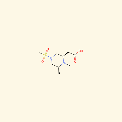 C[C@H]1CN(S(C)(=O)=O)C[C@@H](CC(=O)O)N1C